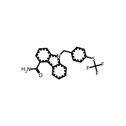 NC(=O)c1cccc2c1c1[c]cccc1n2Cc1ccc(SC(F)(F)F)cc1